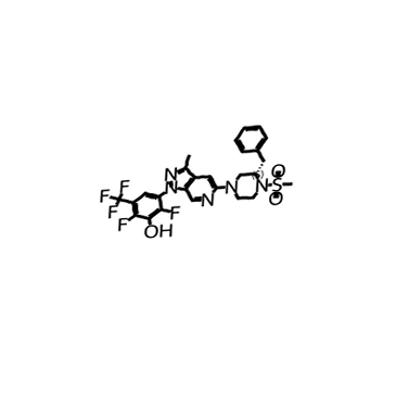 Cc1nn(-c2cc(C(F)(F)F)c(F)c(O)c2F)c2cnc(N3CCN(S(C)(=O)=O)[C@@H](Cc4ccccc4)C3)cc12